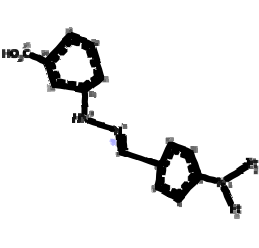 CCN(CC)c1ccc(/C=N/Nc2cccc(C(=O)O)c2)cc1